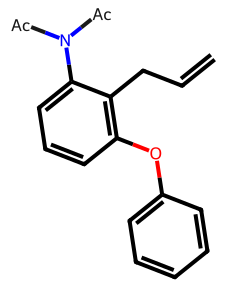 C=CCc1c(Oc2ccccc2)cccc1N(C(C)=O)C(C)=O